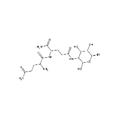 CCC1OC(O)C(NC(=O)CCC(NC(=O)C(N)CCC(N)=O)C(N)=O)C(O)C1O